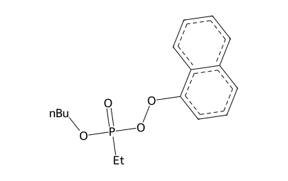 CCCCOP(=O)(CC)OOc1cccc2ccccc12